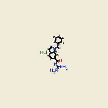 Cl.NC(N)=NC(=O)c1ccc2ccn(Cc3ccccc3)c2c1